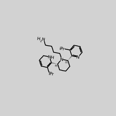 CC(C)C1=C([C@H]2CCC[C@@H](c3ncccc3C(C)C)N2CCCCN)NCC=C1